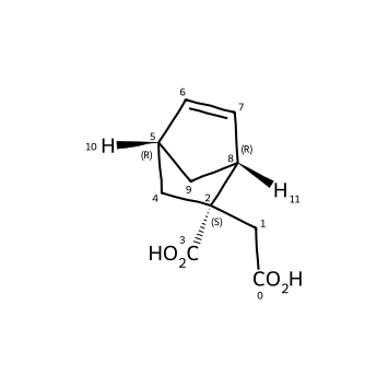 O=C(O)C[C@@]1(C(=O)O)C[C@@H]2C=C[C@H]1C2